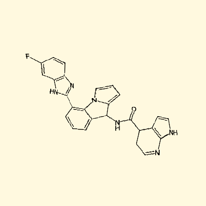 O=C(NC1c2cccc(-c3nc4ccc(F)cc4[nH]3)c2-n2cccc21)C1CC=Nc2[nH]ccc21